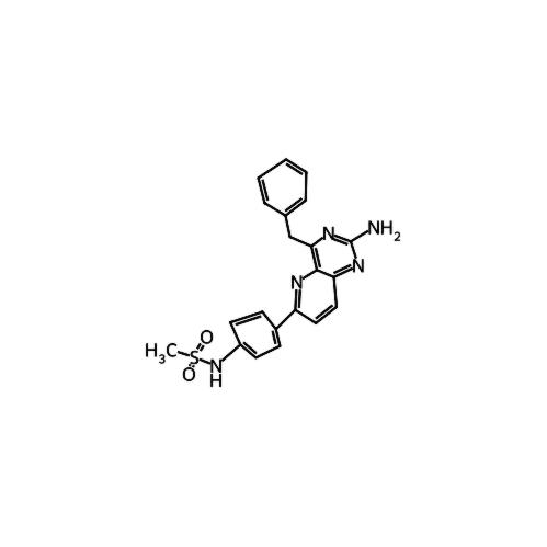 CS(=O)(=O)Nc1ccc(-c2ccc3nc(N)nc(Cc4ccccc4)c3n2)cc1